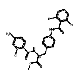 COC(=O)[C@H](Cc1ccc(NC(=O)c2c(Cl)cccc2Cl)cc1)NC(=O)c1ccc(N)cc1Cl